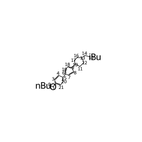 CCCCOc1ccc(-c2ccc(C3CCC(CC(C)CC)CC3)cc2)cc1